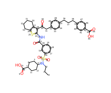 CCCN(C1CCC(C(=O)O)CC1)S(=O)(=O)c1cccc(C(=O)Nc2sc3c(c2C(=O)Cc2ccc(CCCc4ccc(C(=O)O)cc4)cc2)CCCC3)c1